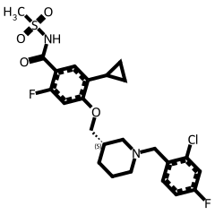 CS(=O)(=O)NC(=O)c1cc(C2CC2)c(OC[C@H]2CCCN(Cc3ccc(F)cc3Cl)C2)cc1F